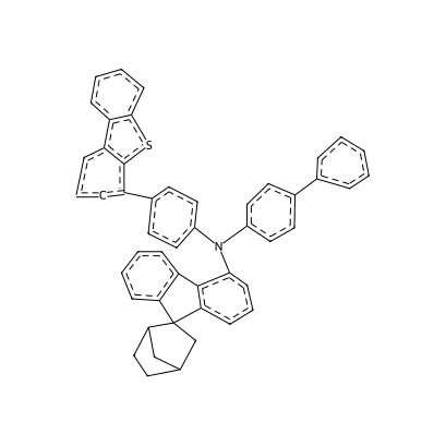 c1ccc(-c2ccc(N(c3ccc(-c4cccc5c4sc4ccccc45)cc3)c3cccc4c3-c3ccccc3C43CC4CCC3C4)cc2)cc1